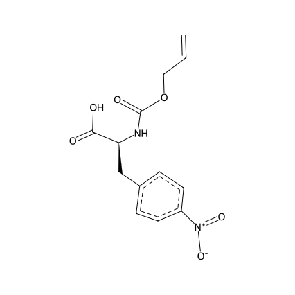 C=CCOC(=O)N[C@@H](Cc1ccc([N+](=O)[O-])cc1)C(=O)O